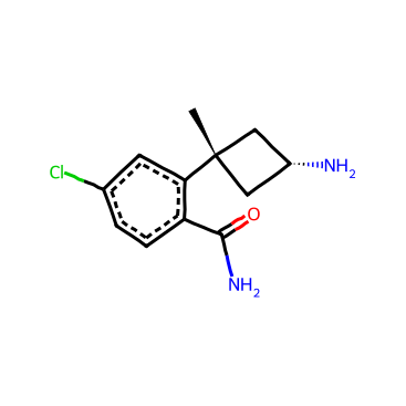 C[C@]1(c2cc(Cl)ccc2C(N)=O)C[C@@H](N)C1